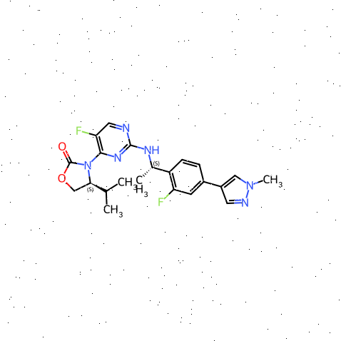 CC(C)[C@H]1COC(=O)N1c1nc(N[C@@H](C)c2ccc(-c3cnn(C)c3)cc2F)ncc1F